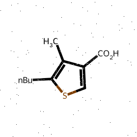 CCCCc1scc(C(=O)O)c1C